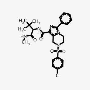 CNC(=O)C(NC(=O)c1nc(-c2ccccc2)n2c1CN(S(=O)(=O)c1ccc(Cl)cc1)CC2)C(C)(C)C